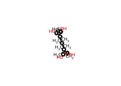 Cc1cc(C2(C3=CC(C)[C@H](O)C=C3)CCC(C(C)(C)C3CCC(C(C)(C)C4CCC(C5=CC(C)[C@H](O)C=C5)(c5ccc(O)c(C)c5)CC4)CC3)CC2)ccc1O